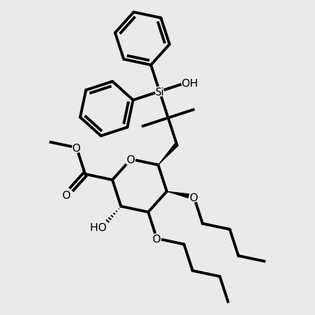 CCCCOC1[C@H](O)C(C(=O)OC)O[C@@H](CC(C)(C)[Si](O)(c2ccccc2)c2ccccc2)[C@H]1OCCCC